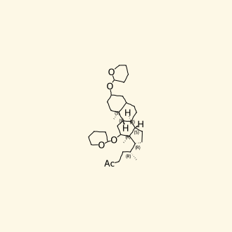 CC(=O)CC[C@@H](C)[C@H]1CC[C@H]2[C@@H]3CCC4CC(OC5CCCCO5)CC[C@]4(C)[C@H]3CC(OC3CCCCO3)[C@]12C